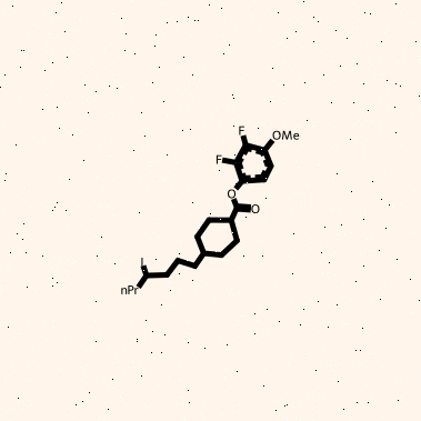 CCCC(I)CCCC1CCC(C(=O)Oc2ccc(OC)c(F)c2F)CC1